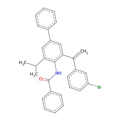 C=C(c1cccc(Br)c1)c1cc(-c2ccccc2)cc(C(C)C)c1NC(=O)c1ccccc1